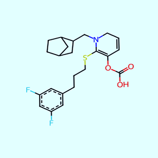 O=C(O)OC1=C(SCCCc2cc(F)cc(F)c2)N(CC2CC3CCC2C3)CC=C1